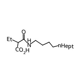 CCCCCCCCCCCNC(=O)C(CC)C(=O)O